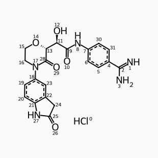 Cl.N=C(N)c1ccc(NC(=O)[C@H](O)[C@H]2OCCN(c3ccc4c(c3)CC(=O)N4)C2=O)cc1